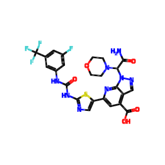 NC(=O)C(N1CCOCC1)n1ncc2c(C(=O)O)cc(-c3cnc(NC(=O)Nc4cc(F)cc(C(F)(F)F)c4)s3)nc21